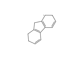 [CH]1CC=CC2=C1CC1=C2C=CCC1